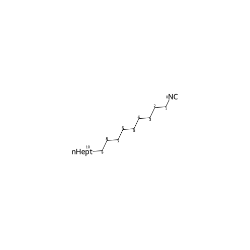 [C-]#[N+]CCCCCCCCCCCCCCCC